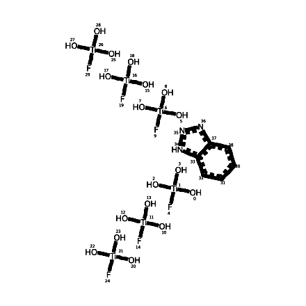 [OH][Ti]([OH])([OH])[F].[OH][Ti]([OH])([OH])[F].[OH][Ti]([OH])([OH])[F].[OH][Ti]([OH])([OH])[F].[OH][Ti]([OH])([OH])[F].[OH][Ti]([OH])([OH])[F].c1ccc2[nH]nnc2c1